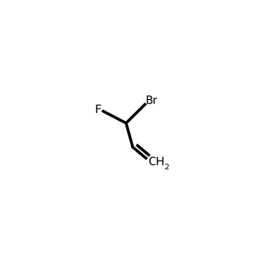 C=CC(F)Br